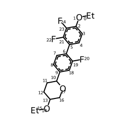 CCOc1ccc(-c2ccc(C3CCC(OCC)CO3)cc2F)c(F)c1F